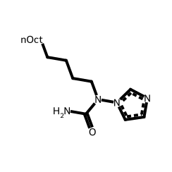 CCCCCCCCCCCCN(C(N)=O)n1ccnc1